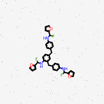 FC(Nc1ccc(Cc2ccc(NC(F)c3ccco3)c(Cc3ccc(NC(F)c4ccco4)cc3)c2)cc1)c1ccco1